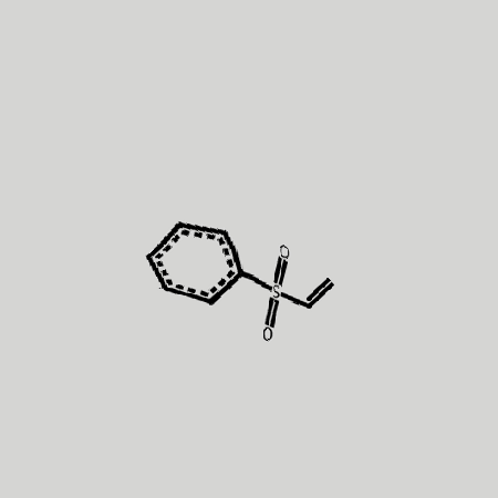 C=CS(=O)(=O)c1c[c]ccc1